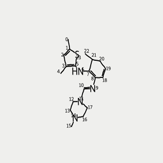 Cc1cc(C)c(NC2=C(/N=C/N3CCN(C)CC3)C=CCC2C)s1